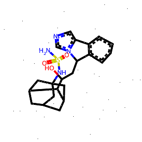 NS(=O)(=O)NC12CC3CC(C1)C(C(O)CC1c4ccccc4-c4cncn41)C(C3)C2